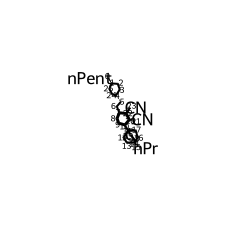 CCCCC[C@H]1CC[C@H](CCc2ccc(C34CCC(CCC)(CC3)CC4)c(C#N)c2C#N)CC1